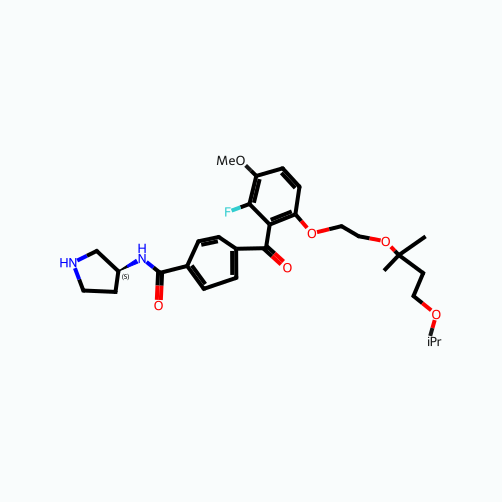 COc1ccc(OCCOC(C)(C)CCOC(C)C)c(C(=O)c2ccc(C(=O)N[C@H]3CCNC3)cc2)c1F